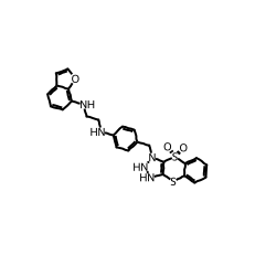 O=S1(=O)C2=C(NNN2Cc2ccc(NCCNc3cccc4ccoc34)cc2)Sc2ccccc21